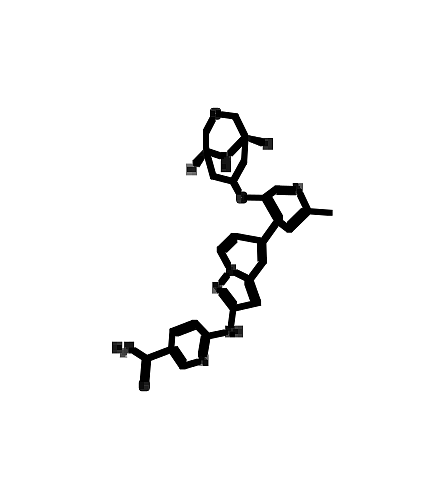 Cc1cc(-c2ccn3nc(Nc4ccc(C(N)=O)cn4)cc3c2)c(OC2C[C@H]3COC[C@@H](C2)N3)cn1